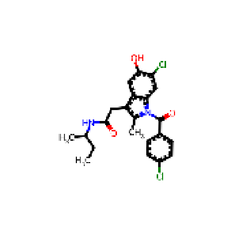 CCC(C)NC(=O)Cc1c(C)n(C(=O)c2ccc(Cl)cc2)c2cc(Cl)c(O)cc12